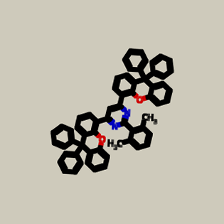 Cc1cccc(C)c1-c1nc(-c2cccc3c2Oc2ccccc2C3(c2ccccc2)c2ccccc2)cc(-c2cccc3c2Oc2ccccc2C3(c2ccccc2)c2ccccc2)n1